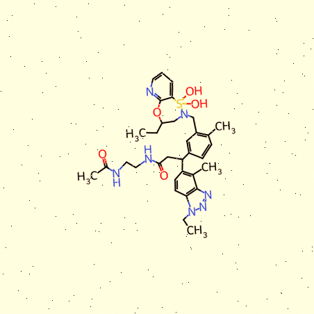 CCC1CN(Cc2cc(C(CC(=O)NCCNC(C)=O)c3ccc4c(nnn4CC)c3C)ccc2C)S(O)(O)c2cccnc2O1